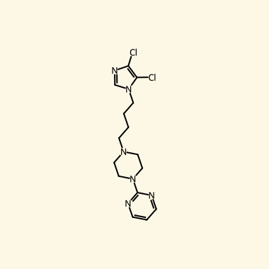 Clc1ncn(CCCCN2CCN(c3ncccn3)CC2)c1Cl